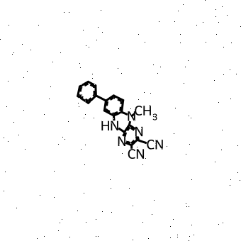 CN1c2ccc(-c3ccccc3)cc2Nc2nc(C#N)c(C#N)nc21